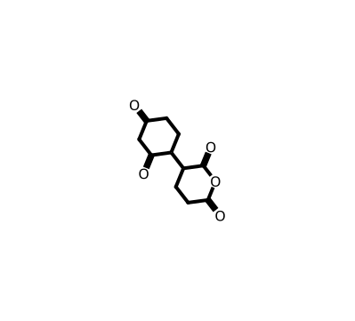 O=C1CCC(C2CCC(=O)OC2=O)C(=O)C1